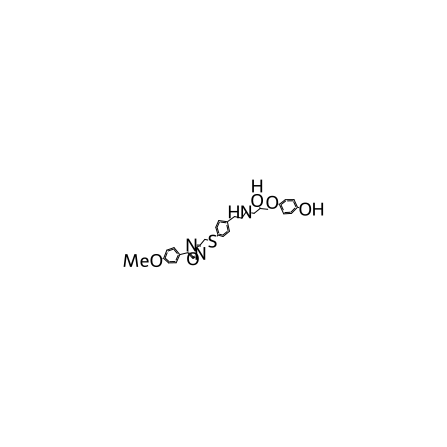 COc1ccc(-c2nc(CSc3ccc(CCNC[C@H](O)COc4ccc(O)cc4)cc3)no2)cc1